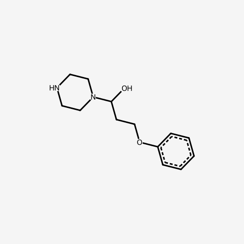 OC(CCOc1ccccc1)N1CCNCC1